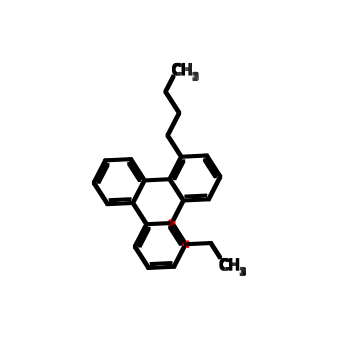 CCCCc1cccc(CCCC)c1-c1ccccc1-c1ccccc1